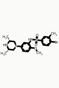 COc1ccc(N2C[C@@H](C)N[C@@H](C)C2)cc1NS(=O)(=O)c1ccc(Br)c(C)c1